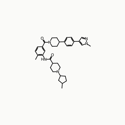 Cc1ccc(C(=O)N2CCC(c3ccc(-c4cnn(C)c4)cc3)CC2)cc1NC(=O)C1CCN(C2CCC(C)C2)CC1